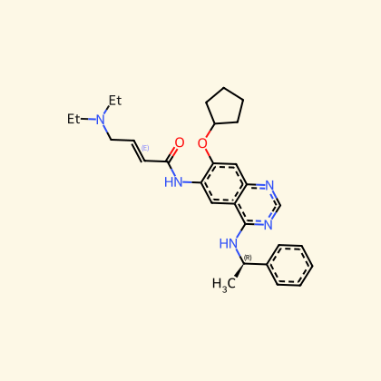 CCN(CC)C/C=C/C(=O)Nc1cc2c(N[C@H](C)c3ccccc3)ncnc2cc1OC1CCCC1